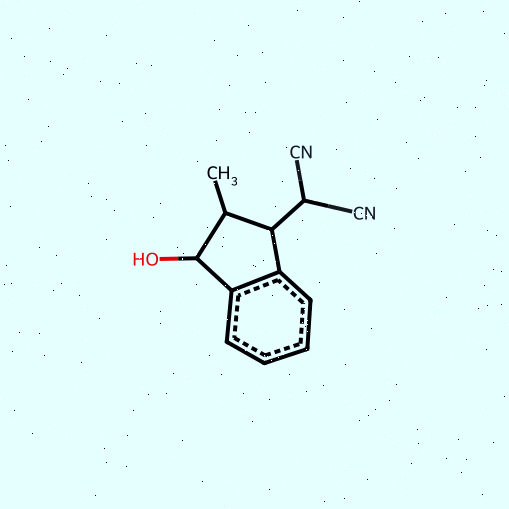 CC1C(O)c2ccccc2C1C(C#N)C#N